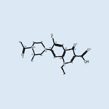 CCn1cc(C(=O)O)c(=O)c2cc(F)c(N3CCN(C(C)=O)C(C)C3)cc21